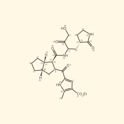 CCOC(=O)c1cc(C(=O)N2C[C@@H]3CCC[C@@H]3[C@H]2C(=O)NC(C[C@@H]2CCNC2=O)C(=O)CO)[nH]c1C